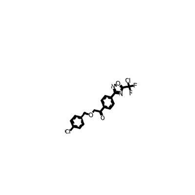 O=C(COCc1ccc(Cl)cc1)c1ccc(-c2noc(C(F)(F)Cl)n2)cc1